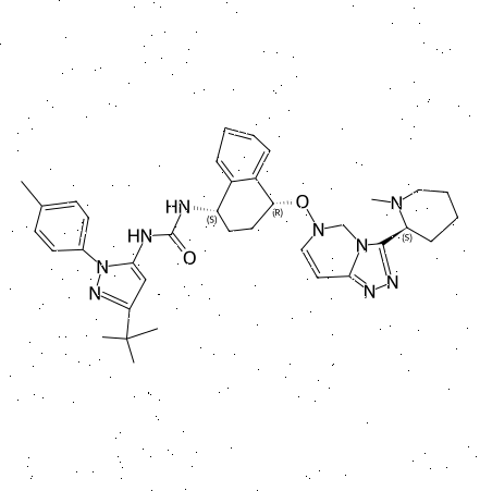 Cc1ccc(-n2nc(C(C)(C)C)cc2NC(=O)N[C@H]2CC[C@@H](ON3C=Cc4nnc([C@@H]5CCCCN5C)n4C3)c3ccccc32)cc1